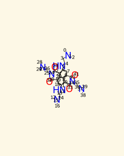 CN(C)CCNc1cc2c3c(c(NCCN(C)C)cc4c3c1C(=O)N(CCN(C)C)C4=O)C(=O)N(CCN(C)C)C2=O